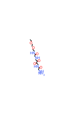 CCOCCOCCNC(=O)CNCC(=O)C(=O)CNC(=O)CNN